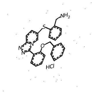 Cl.NCc1ccccc1Sc1ccc2nnc(-c3ccccc3OCc3ccccc3)n2c1